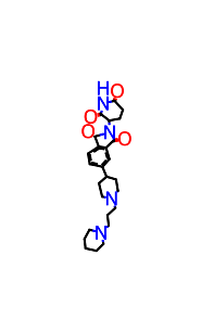 O=C1CCC(N2C(=O)c3ccc(C4CCN(CCCN5CCCCC5)CC4)cc3C2=O)C(=O)N1